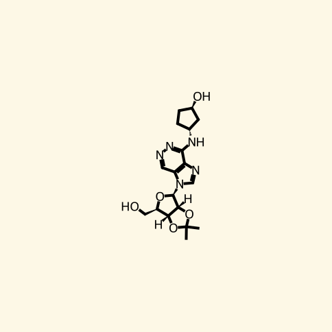 CC1(C)O[C@@H]2[C@H](O1)[C@@H](CO)O[C@H]2n1cnc2c(N[C@@H]3CC[C@@H](O)C3)nncc21